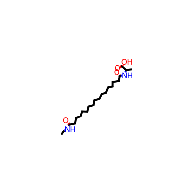 CCNC(=O)CCCCCCCCCCCCCCCC(=O)NC(C)C(=O)O